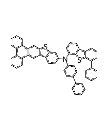 c1ccc(-c2ccc(N(c3ccc4c(c3)sc3cc5c6ccccc6c6ccccc6c5cc34)c3cccc4c3sc3c(-c5ccccc5)cccc34)cc2)cc1